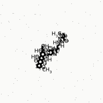 COc1cccc2c1C(=O)c1c(O)c3c(c(O)c1C2=O)C[C@@](O)(C(=O)CO)C[C@@H]3OC1CC(/N=C\CCCCNc2nc3c(ncn3C)c(=O)[nH]2)C(O)C(C)O1